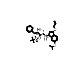 C=CCO[C@@H]1C[C@H](NC[C@@H](O[Si](C)(C)C(C)(C)C)[C@@H](N)Cc2ccccc2)c2cc(OC(C)C)ccc21